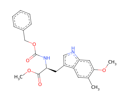 COC(=O)[C@H](Cc1c[nH]c2cc(OC)c(C)cc12)NC(=O)OCc1ccccc1